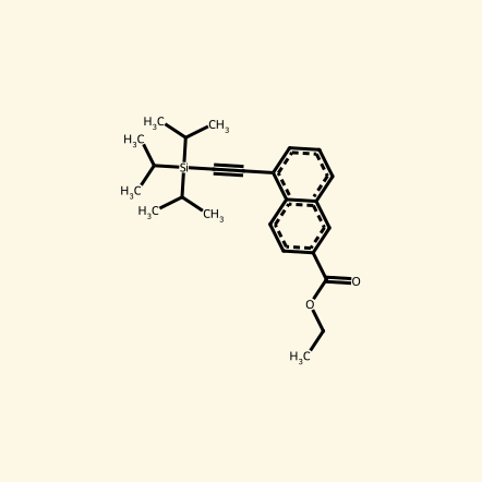 CCOC(=O)c1ccc2c(C#C[Si](C(C)C)(C(C)C)C(C)C)cccc2c1